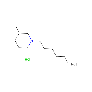 CCCCCCCCCCCCN1CCCC(C)C1.Cl